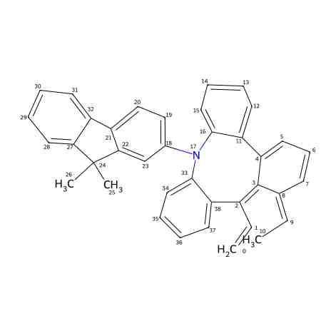 C=C/C1=c2/c(ccc/c2=C/C)-c2ccccc2N(c2ccc3c(c2)C(C)(C)c2ccccc2-3)c2ccccc21